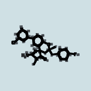 CN1C(=O)C2(C[C@@](C)(Cc3ccc(F)cn3)Oc3ccc(-c4cncc(Cl)c4)cc32)N=C1N